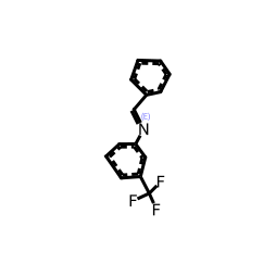 FC(F)(F)c1cccc(/N=C/c2ccccc2)c1